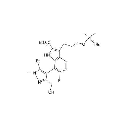 CCOC(=O)c1[nH]c2c(-c3c(CO)nn(C)c3CC)c(F)ccc2c1CCCO[Si](C)(C)C(C)(C)C